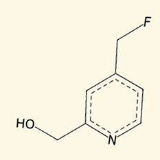 OCc1cc(CF)ccn1